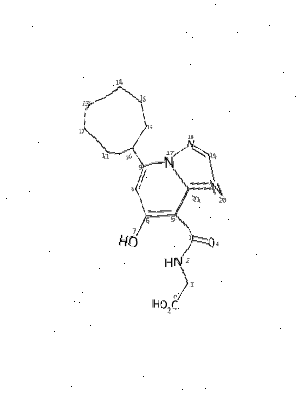 O=C(O)CNC(=O)c1c(O)cc(C2CCCCCC2)n2ncnc12